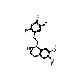 COc1cc2c(cc1OC)[C@H](CCc1cc(F)c(F)cc1F)NCC2